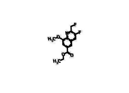 CCOC(=O)c1cc(OC)c2nc(CF)c(F)cc2c1